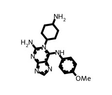 COc1ccc(Nc2c3ncnc-3nc(N)n2C2CCC(N)CC2)cc1